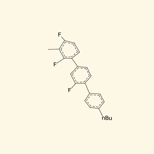 CCCCc1ccc(-c2ccc(-c3ccc(F)c(C)c3F)cc2F)cc1